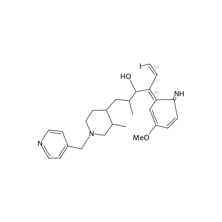 COC1=C/C(=C(/C=C\I)C(O)C(C)CC2CCN(Cc3ccncc3)CC2C)C(=N)C=C1